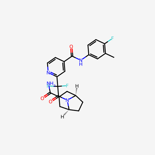 Cc1cc(NC(=O)c2ccnc(C(F)(F)C(=O)N3[C@@H]4CC[C@H]3CC(C(N)=O)C4)c2)ccc1F